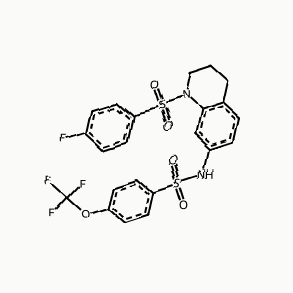 O=S(=O)(Nc1ccc2c(c1)N(S(=O)(=O)c1ccc(F)cc1)CCC2)c1ccc(OC(F)(F)F)cc1